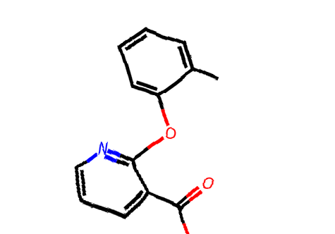 Cc1ccccc1Oc1ncccc1C(=O)O